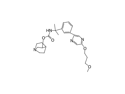 COCCCOc1cnc(-c2cccc(C(C)(C)NC(=O)OC3CN4CCC3CC4)c2)cn1